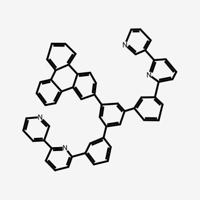 c1cncc(-c2cccc(-c3cccc(-c4cc(-c5cccc(-c6cccc(-c7cccnc7)n6)c5)cc(-c5ccc6c7ccccc7c7ccccc7c6c5)c4)c3)n2)c1